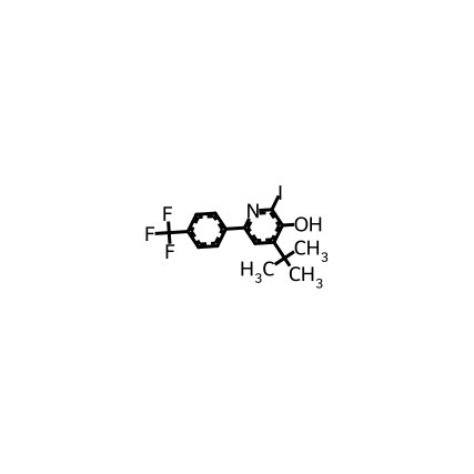 CC(C)(C)c1cc(-c2ccc(C(F)(F)F)cc2)nc(I)c1O